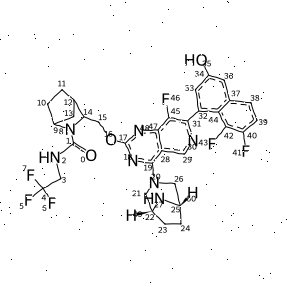 O=C(NCC(F)(F)F)N1C2CCC(C2)C1COc1nc(N2C[C@H]3CC[C@@H](C2)N3)c2cnc(-c3cc(O)cc4ccc(F)c(F)c34)c(F)c2n1